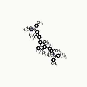 C=CC1=C(/C=C(\C)N(C2=CCC(C)(C)C=C2)c2ccc(C)cc2)C(C)(C)c2cc(-c3cc4c5c(c3)C(C)(C)c3cc(-c6ccc7c(c6)C(C)(C)C6=C7CCC(N(C(/C=C\C(=C)C)=C/C)c7ccc(C)cc7)=C6)ccc3N5c3ccccc3C4(C)C)ccc21